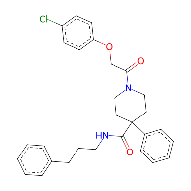 O=C(COc1ccc(Cl)cc1)N1CCC(C(=O)NCCCc2ccccc2)(c2ccccc2)CC1